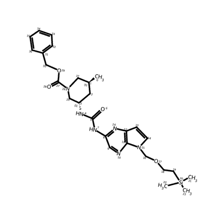 C[C@H]1C[C@H](NC(=O)Nc2cnc3c(ccn3COCC[Si](C)(C)C)n2)CN(C(=O)OCc2ccccc2)C1